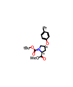 COC(=O)[C@@H]1C[C@@H](Oc2ccc(C(C)C)cc2)CN1C(=O)OC(C)(C)C